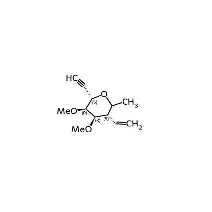 C#C[C@@H]1OC(C)[C@H](C=C)[C@@H](OC)[C@H]1OC